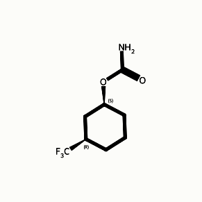 NC(=O)O[C@H]1CCC[C@@H](C(F)(F)F)C1